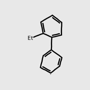 CCc1ccccc1-c1cc[c]cc1